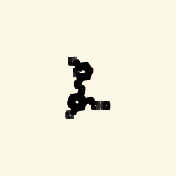 O=CCc1cc(Cl)ccc1COc1cccc(Cl)n1